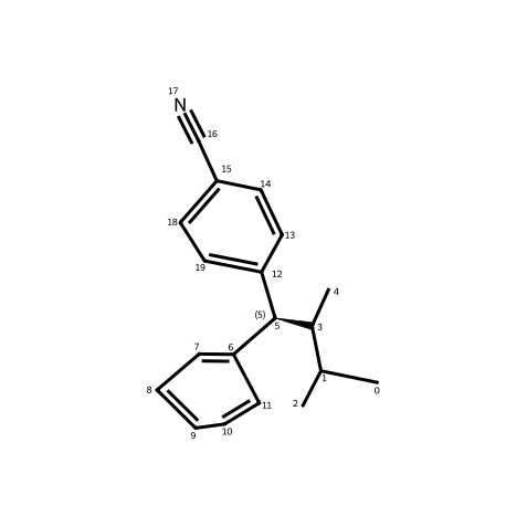 CC(C)C(C)[C@@H](c1ccccc1)c1ccc(C#N)cc1